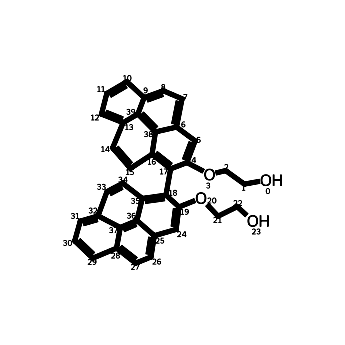 OCCOc1cc2ccc3cccc4ccc(c1-c1c(OCCO)cc5ccc6cccc7ccc1c5c67)c2c34